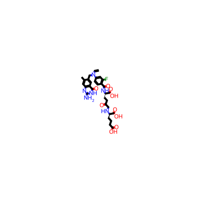 C=CN(Cc1cc2c(=O)[nH]c(N)nc2cc1C)c1ccc(C(=O)N[C@@H](CCC(=O)CN[C@H](CCCC(=O)O)C(=O)O)C(=O)O)c(F)c1